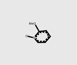 COc1c[c]cc[n+]1[O-]